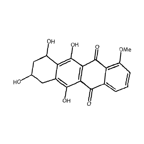 COc1cccc2c1C(=O)c1c(O)c3c(c(O)c1C2=O)CC(O)CC3O